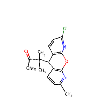 COC(=O)C(C)(C)C1c2ccc(C)nc2Oc2nc(Cl)ccc21